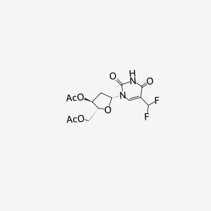 CC(=O)OC[C@H]1O[C@@H](n2cc(C(F)F)c(=O)[nH]c2=O)C[C@@H]1OC(C)=O